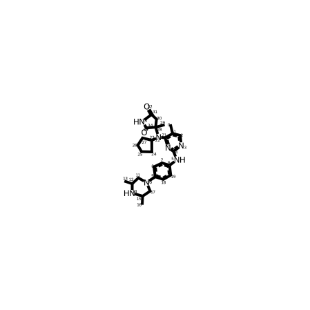 Cc1cnc(Nc2ccc(N3CC(C)NC(C)C3)cc2)nc1N(C1CCCC1)C1(C)CC(=O)NC1=O